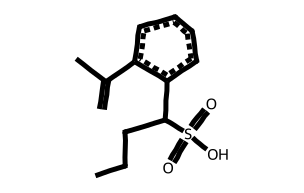 C=C(C)c1ccccc1C(CCC)S(=O)(=O)O